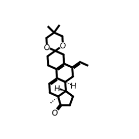 C/C=C1\C[C@@H]2C(=CC[C@]3(C)C(=O)CC[C@@H]23)C2=C1CC1(CC2)OCC(C)(C)CO1